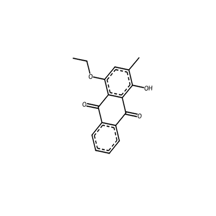 CCOc1cc(C)c(O)c2c1C(=O)c1ccccc1C2=O